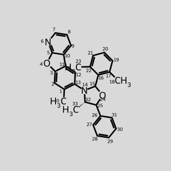 Cc1cc2oc3ncccc3c2cc1N1C(c2c(C)cccc2C)OC(c2ccccc2)[C@@H]1C